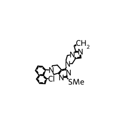 C=Cc1ncc2n1CCN(c1nc(SC)nc3c1CCN(c1cccc4cccc(Cl)c14)C3)C2